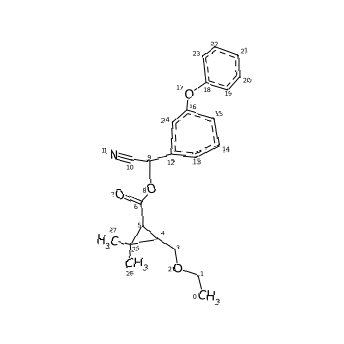 CCOCC1C(C(=O)OC(C#N)c2cccc(Oc3ccccc3)c2)C1(C)C